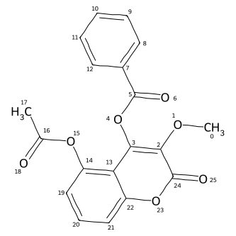 COc1c(OC(=O)c2ccccc2)c2c(OC(C)=O)cccc2oc1=O